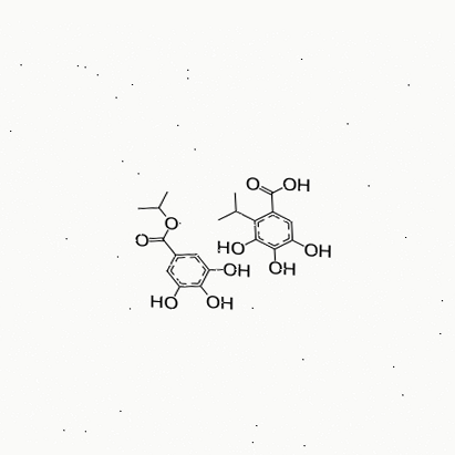 CC(C)OC(=O)c1cc(O)c(O)c(O)c1.CC(C)c1c(C(=O)O)cc(O)c(O)c1O